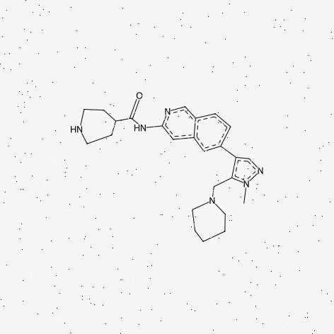 Cn1ncc(-c2ccc3cnc(NC(=O)C4CCNCC4)cc3c2)c1CN1CCCCC1